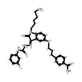 CCCCCCN1C(=O)/C(=N\NC(=O)Nc2cccc(F)c2)c2cc(SCCCc3ccc(C(=O)O)cc3)ccc21